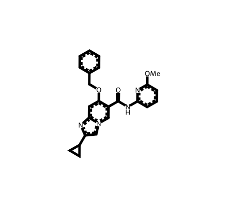 COc1cccc(NC(=O)c2cn3cc(C4CC4)nc3cc2OCc2ccccc2)n1